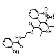 COC(=O)C1=C(C)NC(C)=C(C(=O)OCCNC(=O)c2ccccc2O)C1c1ccccc1[N+](=O)[O-]